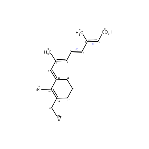 CC(=C/C=C/C(C)=C/C(=O)O)C=C1CCCC(CC(C)C)=C1C(C)C